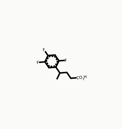 CC(CCC(=O)O)c1cc(F)c(F)cc1F